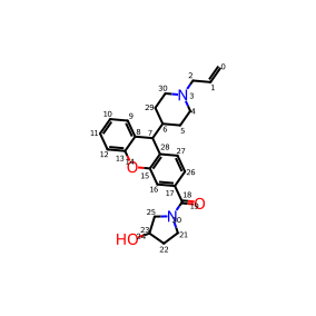 C=CCN1CCC(C2c3ccccc3Oc3cc(C(=O)N4CCC(O)C4)ccc32)CC1